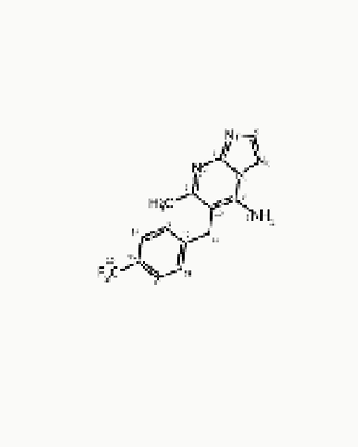 Cc1nc2ncnn2c(N)c1Cc1ccc(C(F)(F)F)cc1